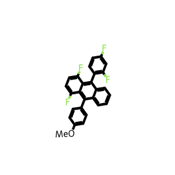 COc1ccc(-c2c3ccccc3c(-c3ccc(F)cc3F)c3c(F)ccc(F)c23)cc1